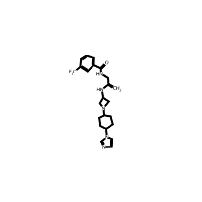 C=C(CNC(=O)c1cccc(C(F)(F)F)c1)NC1CN(C2CCC(n3ccnc3)CC2)C1